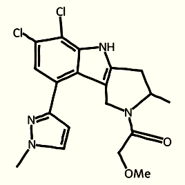 COCC(=O)N1Cc2c([nH]c3c(Cl)c(Cl)cc(-c4ccn(C)n4)c23)CC1C